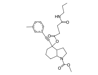 CCCNC(=O)CCC(=O)OC1(C#Cc2cccc(C)c2)CCCC2C1CCN2C(=O)OC